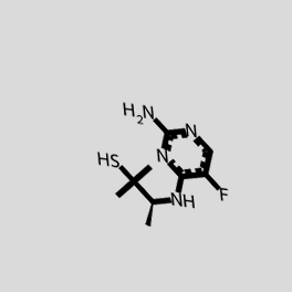 C[C@H](Nc1nc(N)ncc1F)C(C)(C)S